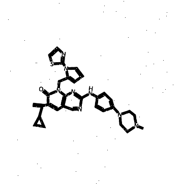 C=C(c1cc2cnc(Nc3ccc(N4CCN(C)CC4)cc3)nc2n(Cc2cccn2-c2nccs2)c1=O)C1CC1